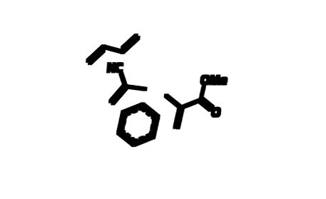 C=C(C)C#N.C=C(C)C(=O)OC.C=CC=C.c1ccccc1